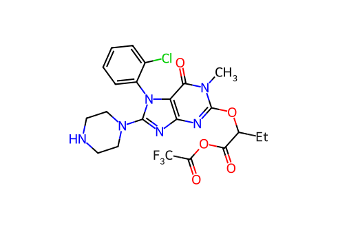 CCC(Oc1nc2nc(N3CCNCC3)n(-c3ccccc3Cl)c2c(=O)n1C)C(=O)OC(=O)C(F)(F)F